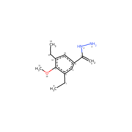 C=C(NN)c1cc(CC)c(OC)c(CC)c1